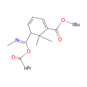 CCCC(=O)OC(=NC)C1C=CC=C(C(=O)OC(C)(C)C)C1(C)C